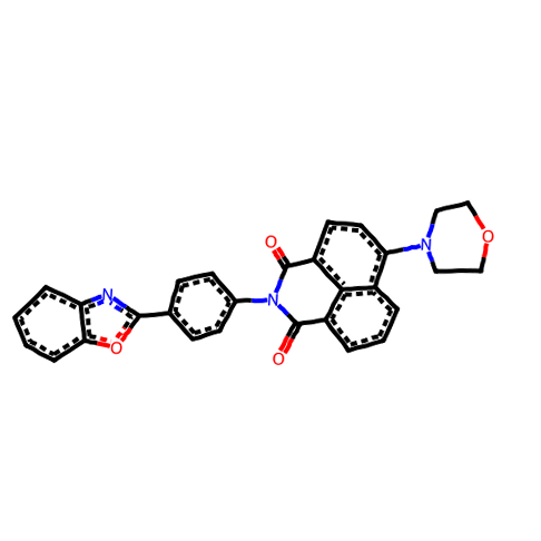 O=C1c2cccc3c(N4CCOCC4)ccc(c23)C(=O)N1c1ccc(-c2nc3ccccc3o2)cc1